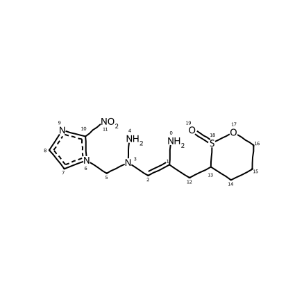 N/C(=C\N(N)Cn1ccnc1[N+](=O)[O-])CC1CCCOS1=O